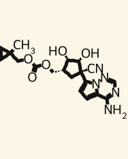 CC1(COC(=O)OC[C@H]2C[C@@](C#N)(c3ccc4c(N)ncnn34)[C@H](O)[C@@H]2O)CC1